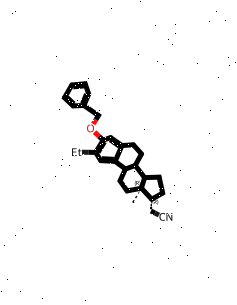 CCc1cc2c(cc1OCc1ccccc1)CCC1C2CC[C@@]2(C)C1CC[C@@H]2CC#N